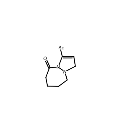 CC(=O)C1=CCN2CCCCC(=O)N12